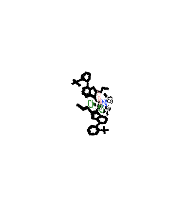 CCCC1=Cc2c(-c3ccccc3C(C)(C)C)cccc2[CH]1[Zr]([Cl])([Cl])([BH]N([Si](C)(C)C)[Si](C)(C)C)[CH]1C(CCC)=Cc2c(-c3ccccc3C(C)(C)C)cccc21